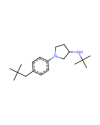 CC(C)(C)Cc1ccc(N2CCC(NC(C)(C)C)C2)cc1